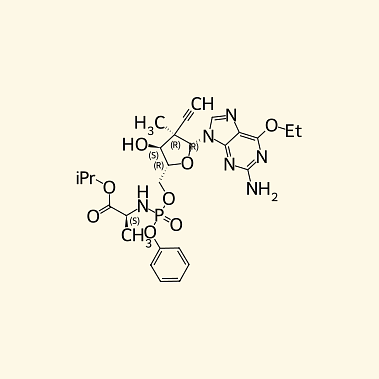 C#C[C@]1(C)[C@H](O)[C@@H](COP(=O)(N[C@@H](C)C(=O)OC(C)C)Oc2ccccc2)O[C@H]1n1cnc2c(OCC)nc(N)nc21